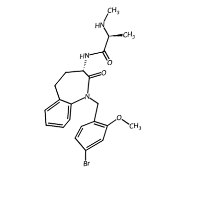 CN[C@@H](C)C(=O)N[C@H]1CCc2ccccc2N(Cc2ccc(Br)cc2OC)C1=O